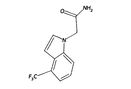 NC(=O)Cn1ccc2c(C(F)(F)F)cccc21